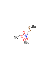 CC(C)(C)OC(=O)N(CCSSC(C)(C)C)C(=O)OCC#N